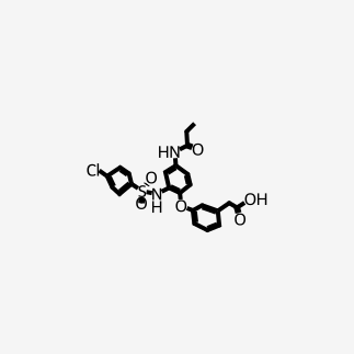 CCC(=O)Nc1ccc(Oc2cccc(CC(=O)O)c2)c(NS(=O)(=O)c2ccc(Cl)cc2)c1